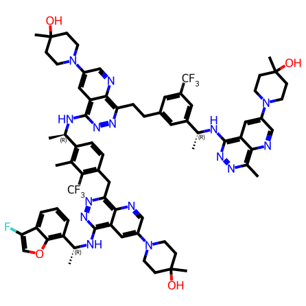 Cc1c([C@@H](C)Nc2nnc(CCc3cc([C@@H](C)Nc4nnc(C)c5ncc(N6CCC(C)(O)CC6)cc45)cc(C(F)(F)F)c3)c3ncc(N4CCC(C)(O)CC4)cc23)ccc(Cc2nnc(N[C@H](C)c3cccc4c(F)coc34)c3cc(N4CCC(C)(O)CC4)cnc23)c1C(F)(F)F